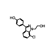 OCCn1nc(-c2ccc(O)cc2)c2cccc(Cl)c21